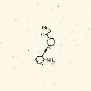 CC(C)(C)OC(=O)N1CCC[C@@H](C#Cc2cccnc2N)C1